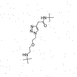 CC(C)(C)NCCOCCn1cc(CC(=O)NC(C)(C)C)nn1